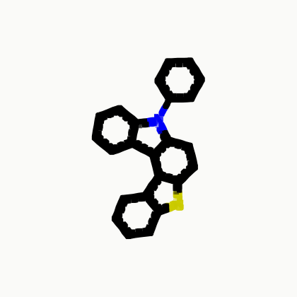 c1ccc(-n2c3ccccc3c3c4c(ccc32)sc2ccccc24)cc1